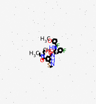 CCCN(CCC)C(=O)c1cc(C(=O)N[C@@H](Cc2cc(F)cc(F)c2)[C@H](O)CNCc2cccc(OC)c2)cc(-c2nccs2)c1